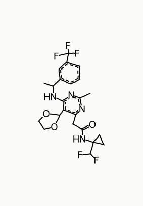 Cc1nc(CC(=O)NC2(C(F)F)CC2)c(C2OCCO2)c(NC(C)c2cccc(C(F)(F)F)c2)n1